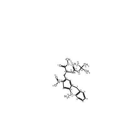 COC(=O)[C@H](Cc1cc(Cc2ccccc2)c(OC)cc1[N+](=O)[O-])NC(=O)OC(C)(C)C